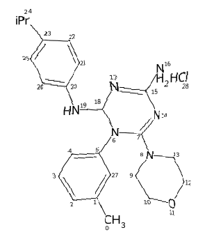 Cc1cccc(N2C(N3CCOCC3)=NC(N)=NC2Nc2ccc(C(C)C)cc2)c1.Cl